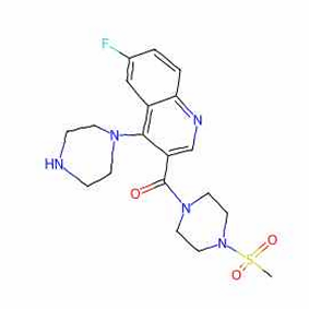 CS(=O)(=O)N1CCN(C(=O)c2cnc3ccc(F)cc3c2N2CCNCC2)CC1